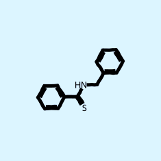 S=C(NCc1ccccc1)c1ccccc1